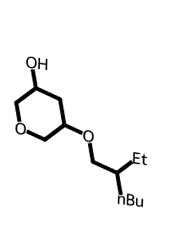 CCCCC(CC)COC1COCC(O)C1